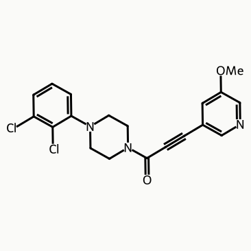 COc1cncc(C#CC(=O)N2CCN(c3cccc(Cl)c3Cl)CC2)c1